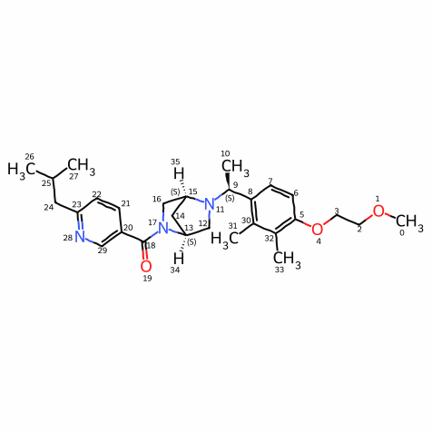 COCCOc1ccc([C@H](C)N2C[C@@H]3C[C@H]2CN3C(=O)c2ccc(CC(C)C)nc2)c(C)c1C